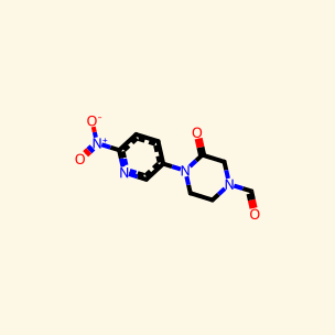 O=CN1CCN(c2ccc([N+](=O)[O-])nc2)C(=O)C1